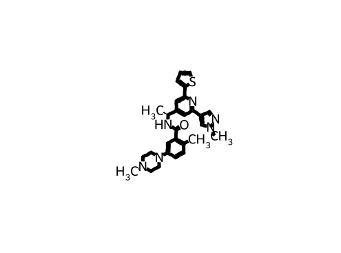 Cc1ccc(N2CCN(C)CC2)cc1C(=O)N[C@H](C)c1cc(-c2cnn(C)c2)nc(-c2cccs2)c1